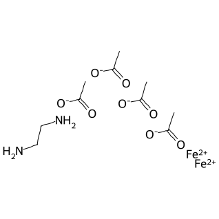 CC(=O)[O-].CC(=O)[O-].CC(=O)[O-].CC(=O)[O-].NCCN.[Fe+2].[Fe+2]